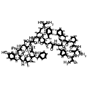 CCC(=O)N[C@@H](Cc1ccccc1)C(=O)N(C)[C@@H](C)C(=O)N[C@@H](Cc1ccc(O)cc1)C(=O)N[C@H](C(=O)N[C@@H](CO)C(=O)NCC(=O)N[C@@H](CCCNC(=N)N)C(=O)N(C)[C@@H](Cc1ccccc1)C(=O)N(C)CC(=O)N[C@@H](Cc1ccc(O)cc1)C(=O)N(C)[C@@H](Cc1ccccc1)C(=O)N1CCC[C@H]1C(=O)N[C@@H](CN)C(=O)NCC(N)=O)C(C)C